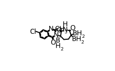 BC1(B)CC[C@@](B)(n2c(C)nc3cc(Cl)ccc3c2=O)C(=O)NC1=O